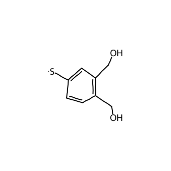 OCc1ccc([S])cc1CO